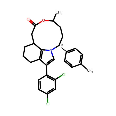 CC1CC[C@H](c2ccc(C(F)(F)F)cc2)n2cc(-c3ccc(Cl)cc3Cl)c3c2C(CCC3)CC(=O)O1